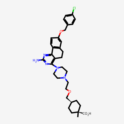 C[C@]1(C(=O)O)CC[C@@H](COCCN2CCN(c3nc(N)nc4c3CCc3cc(OCc5ccc(Cl)cc5)ccc3-4)CC2)CC1